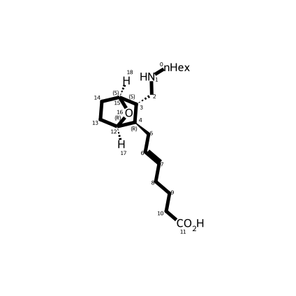 CCCCCCNC[C@@H]1[C@@H](CC=CCCCC(=O)O)[C@H]2CC[C@@H]1O2